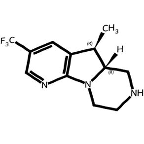 C[C@@H]1c2cc(C(F)(F)F)cnc2N2CCNC[C@@H]12